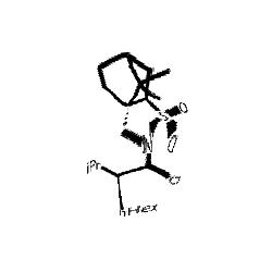 CCCCCC[C@H](C(=O)N1C[C@@]23CCC(CC2S1(=O)=O)C3(C)C)C(C)C